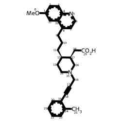 COc1ccc2nccc(CCC[C@@H]3CCN(CC#Cc4ccccc4C)C[C@@H]3CC(=O)O)c2c1